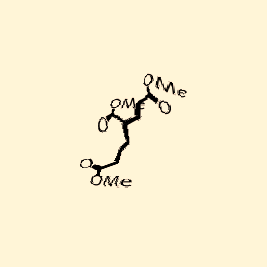 COC(=O)C=CC=C(C=CC(=O)OC)C(=O)OC